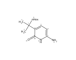 CCCCCCC(C)(C)c1ccc(N)[nH]c1=O